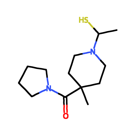 CC(S)N1CCC(C)(C(=O)N2CCCC2)CC1